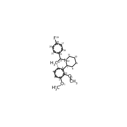 COc1cccc(C2CCCCN2C(C)c2ccc(F)cc2)c1OC